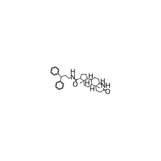 C[C@]12CCC(=O)N[C@@H]1CC[C@@H]1[C@@H]2CC[C@]2(C)[C@@H](C(=O)NCCC(c3ccccc3)c3ccccc3)CC[C@@H]12